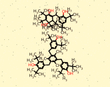 CC(C1=C(O)C(C(C)(C)C)=C(C(C)(C)C)C(O)(C(C)(C)C)C1C(C)(C)C)c1cc(C(C)(C)C)cc(C(C)(C)C)c1O.Cc1c(Cc2cc(C(C)(C)C)c(O)c(C(C)(C)C)c2)c(C)c(Cc2cc(C(C)(C)C)c(O)c(C(C)(C)C)c2)c(C)c1Cc1cc(C(C)(C)C)c(O)c(C(C)(C)C)c1